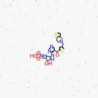 O=C(c1cc(CN2CCc3sccc3C2)cs1)c1cncnc1N[C@H]1C[C@H](O)[C@@H]([CH]NS(=O)(=O)O)C1